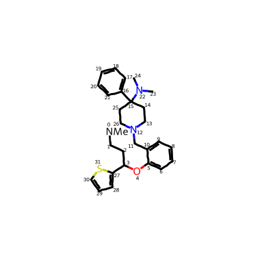 CNCCC(Oc1ccccc1CN1CCC(c2ccccc2)(N(C)C)CC1)c1cccs1